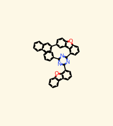 c1ccc(-c2nc(-c3cccc4c3oc3ccccc34)nc(-c3cccc4oc5ccc(-c6ccc7ccccc7c6)cc5c34)n2)cc1